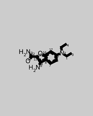 CCN(CC)c1ccc2c(N)c(C(N)=O)oc2c1